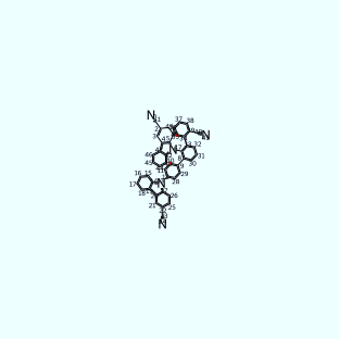 N#CC1=Cc2c(n(-c3c(-c4ccc(-n5c6ccccc6c6cc(C#N)ccc65)cc4)cccc3-c3c#cccc3C#N)c3ccccc23)CC1